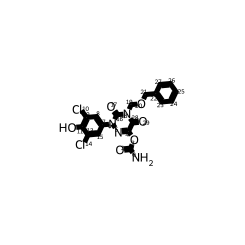 NC(=O)Oc1nn(-c2cc(Cl)c(O)c(Cl)c2)c(=O)n(COCc2ccccc2)c1=O